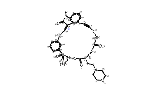 CN1CC(=O)N(CCN2CCOCC2)CCC(=O)NCC#Cc2cccc3c2/C(=C/Nc2cccc(c2)S1(=O)=O)C(=O)N3